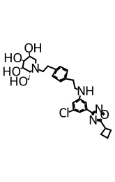 OC[C@@H]1[C@@H](O)[C@H](O)[C@@H](O)CN1CCc1ccc(CCNc2cc(Cl)cc(-c3noc(C4CCC4)n3)c2)cc1